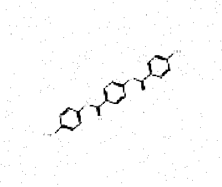 CCCCCCCc1ccc(OC(=O)c2ccc(OC(=O)c3ccc(O)cc3)cc2)cc1